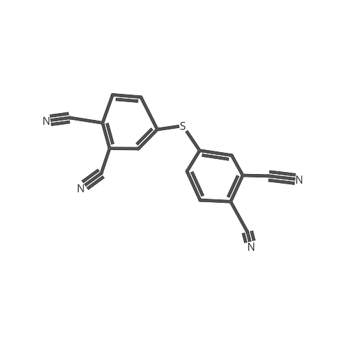 N#Cc1ccc(Sc2ccc(C#N)c(C#N)c2)cc1C#N